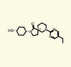 CCc1cnc(N2CCC[C@]3(CCN([C@H]4CC[C@@H](O)CC4)C3=O)C2)nc1